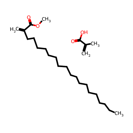 C=C(C)C(=O)O.C=C(CCCCCCCCCCCCCCCCCC)C(=O)OC